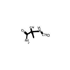 CC(C#N)(NC=O)C(N)=O